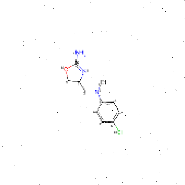 CCN(CC1COC(N)=N1)c1ccc(Cl)cc1